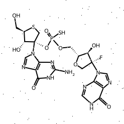 Nc1nc2c(ncn2[C@]2(OP(=O)(S)OC[C@H]3OC[C@](F)(n4cnc5c(=O)[nH]cnc54)[C@@H]3O)CS[C@H](CO)[C@H]2O)c(=O)[nH]1